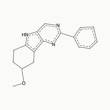 COC1CCc2[nH]c3cnc(-c4ccccc4)nc3c2C1